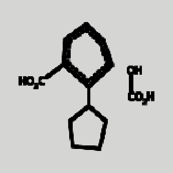 O=C(O)O.O=C(O)c1ccccc1C1CCCC1